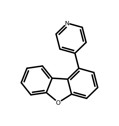 c1ccc2c(c1)oc1cccc(-c3ccncc3)c12